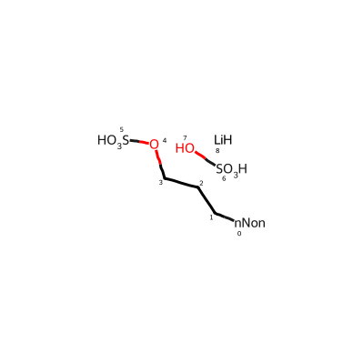 CCCCCCCCCCCCOS(=O)(=O)O.O=S(=O)(O)O.[LiH]